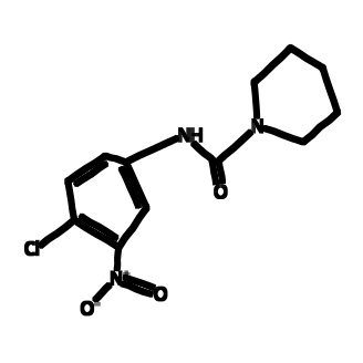 O=C(Nc1ccc(Cl)c([N+](=O)[O-])c1)N1CCCCC1